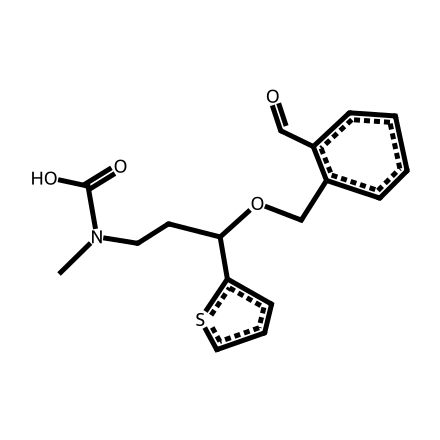 CN(CCC(OCc1ccccc1C=O)c1cccs1)C(=O)O